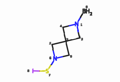 BN1CC2(C1)CN(SI)C2